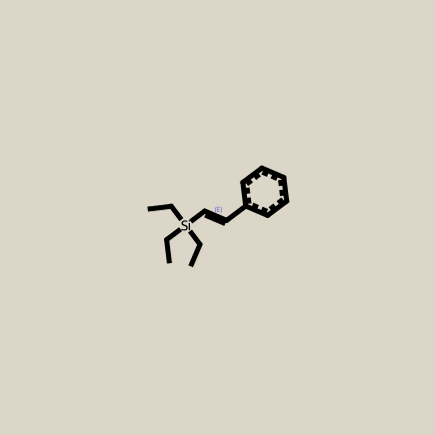 CC[Si](/C=C/c1ccccc1)(CC)CC